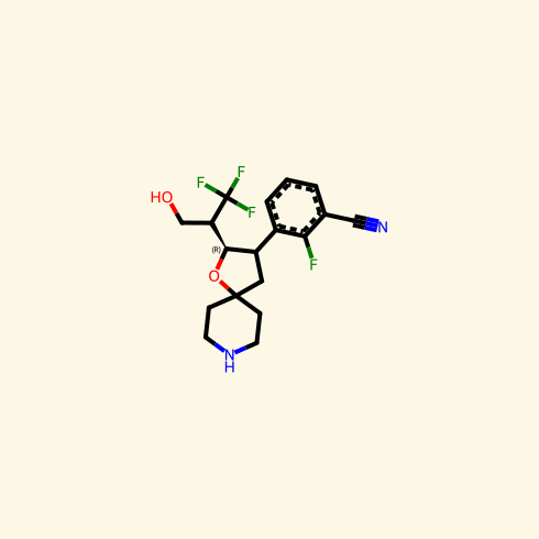 N#Cc1cccc(C2CC3(CCNCC3)O[C@H]2C(CO)C(F)(F)F)c1F